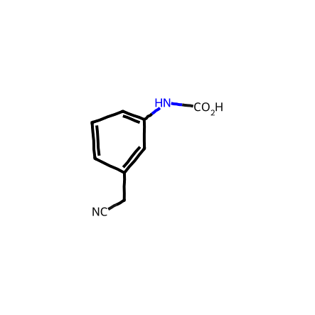 N#CCc1cccc(NC(=O)O)c1